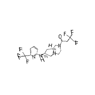 O=C(CC(F)(F)F)N1CCN2C[C@@H](Nc3cccc(C(F)(F)F)n3)C[C@H]2C1